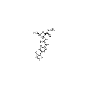 Cc1ncsc1-c1ccc([C@H](C)NCC2C[C@@H](O)CN2C(=O)CC(C)(C)C)cc1